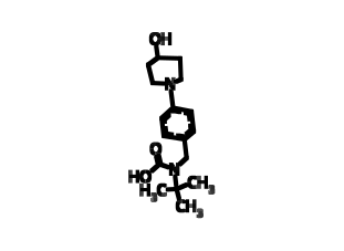 CC(C)(C)N(Cc1ccc(N2CCC(O)CC2)cc1)C(=O)O